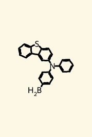 Bc1ccc(N(c2ccccc2)c2ccc3sc4ccccc4c3c2)cc1